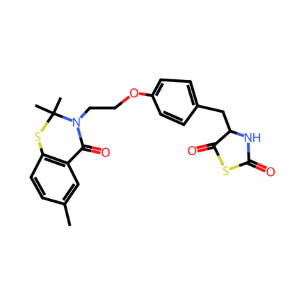 Cc1ccc2c(c1)C(=O)N(CCOc1ccc(CC3NC(=O)SC3=O)cc1)C(C)(C)S2